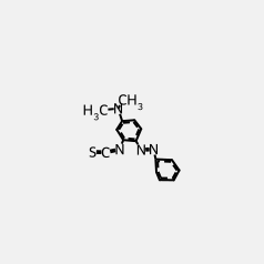 CN(C)c1ccc(N=Nc2ccccc2)c(N=C=S)c1